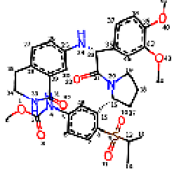 COC(=O)Nc1ccc(S(=O)(=O)C(C)C)c([C@H]2CCCN2C(=O)[C@H](Nc2ccc3c(c2)C(=O)NCC3)c2ccc(OC)c(OC)c2)c1